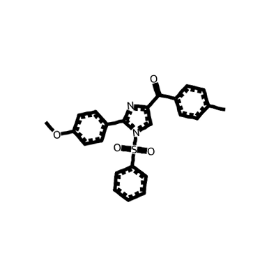 COc1ccc(-c2nc(C(=O)c3ccc(C)cc3)cn2S(=O)(=O)c2ccccc2)cc1